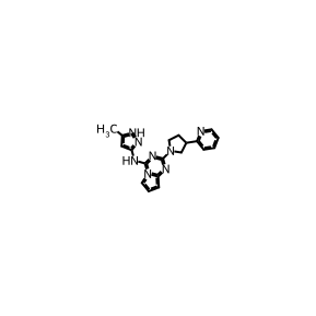 Cc1cc(Nc2nc(N3CCC(c4ccccn4)C3)nc3cccn23)n[nH]1